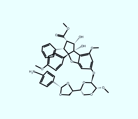 COC(=O)[C@H]1[C@@H](c2ccccc2)[C@@]2(c3ccc(OC)cc3)Oc3cc(O[C@@H]4O[C@@H]([C@H]5CO[C@H](c6ccc(N)cc6)O5)CO[C@H]4OC)cc(OC)c3[C@]2(O)[C@H]1O